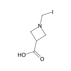 O=C(O)C1CN(CI)C1